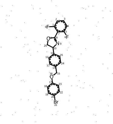 Fc1cccc(F)c1C1=NC(c2ccc(COc3ccc(Br)cc3)cc2)CO1